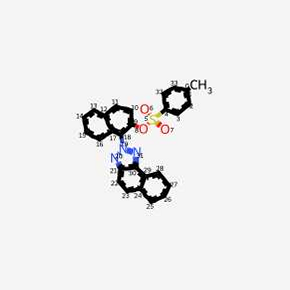 Cc1ccc(S(=O)(=O)Oc2ccc3ccccc3c2-n2nc3ccc4ccccc4c3n2)cc1